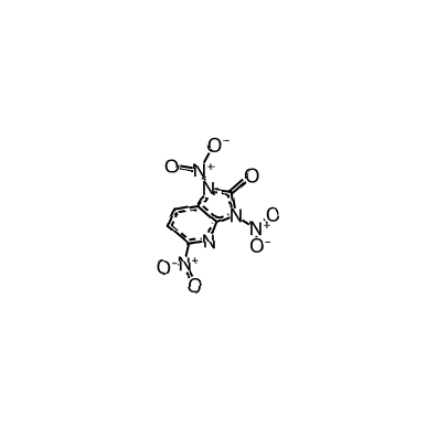 O=c1n([N+](=O)[O-])c2ccc([N+](=O)[O-])nc2n1[N+](=O)[O-]